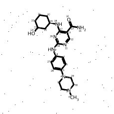 CN1CCN(c2ccc(Nc3ncc(C(N)=O)c(N[C@@H]4CCCC(O)C4)n3)cc2)CC1